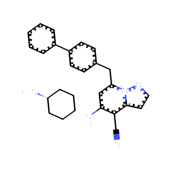 N#Cc1c(N[C@H]2CC[C@H](N)CC2)cc(Cc2ccc(-c3ccccc3)cc2)n2nccc12